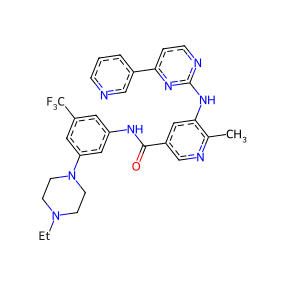 CCN1CCN(c2cc(NC(=O)c3cnc(C)c(Nc4nccc(-c5cccnc5)n4)c3)cc(C(F)(F)F)c2)CC1